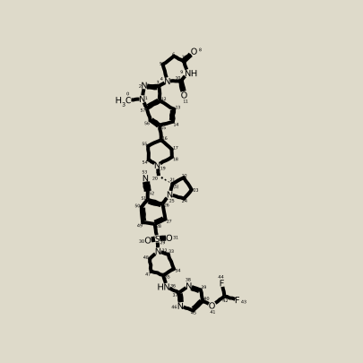 Cn1nc(N2CCC(=O)NC2=O)c2ccc(C3CCN(C[C@@H]4CCCN4c4cc(S(=O)(=O)N5CCC(Nc6ncc(OC(F)F)cn6)CC5)ccc4C#N)CC3)cc21